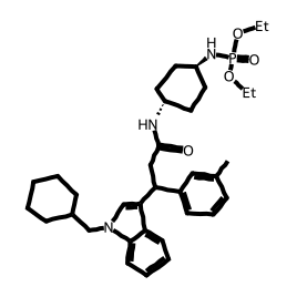 CCOP(=O)(N[C@H]1CC[C@H](NC(=O)CC(c2cccc(C)c2)c2cn(CC3CCCCC3)c3ccccc23)CC1)OCC